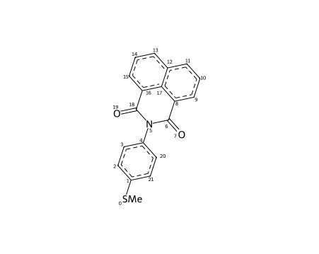 CSc1ccc(N2C(=O)c3cccc4cccc(c34)C2=O)cc1